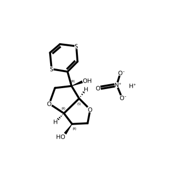 O=[N+]([O-])[O-].O[C@@H]1CO[C@H]2[C@@H]1OC[C@]2(O)C1=CSC=CS1.[H+]